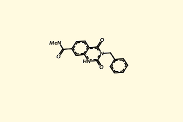 CNC(=O)c1ccc2c(=O)n(Cc3ccccc3)c(=O)[nH]c2c1